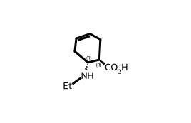 CCN[C@@H]1CC=CC[C@H]1C(=O)O